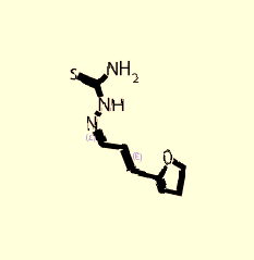 NC(=S)N/N=C\C=C\c1ccco1